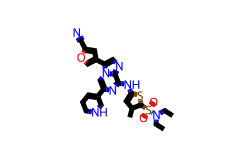 CCN(CC)S(=O)(=O)C1SC(Nc2nc(C3=CCCNC3)cn3c(-c4coc(C#N)c4)cnc23)=CC1C